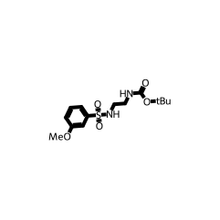 COc1cccc(S(=O)(=O)NCCNC(=O)OC(C)(C)C)c1